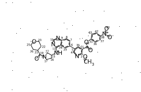 COc1ncc(-c2ccc3ncnc(N[C@H]4CCN(C(=O)C5CCOCC5)C4)c3c2)cc1C(=O)Oc1ccc([N+](=O)[O-])cc1